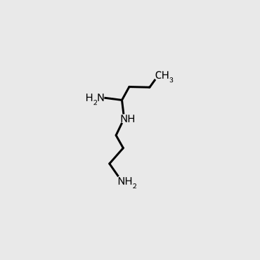 CCCC(N)NCCCN